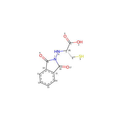 O=C(O)[C@H](CS)NN1C(=O)c2ccccc2C1=O